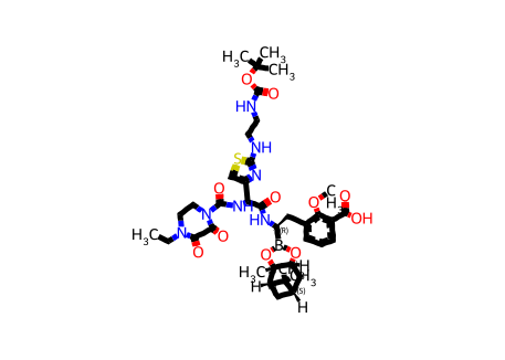 CCN1CCN(C(=O)NC(C(=O)N[C@@H](Cc2cccc(C(=O)O)c2OC)B2O[C@@H]3C[C@@H]4C[C@@H](C4(C)C)[C@]3(C)O2)c2csc(NCCNC(=O)OC(C)(C)C)n2)C(=O)C1=O